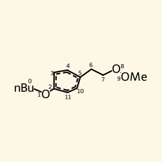 CCCCOc1ccc(CCOOC)cc1